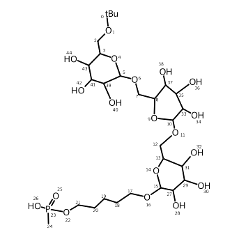 CC(C)(C)OCC1OC(OCC2OC(OCC3OC(OCCCCCOP(C)(=O)O)C(O)C(O)C3O)C(O)C(O)C2O)C(O)C(O)C1O